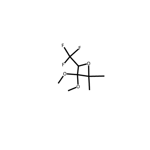 COC1(OC)C(C(F)(F)F)OC1(C)C